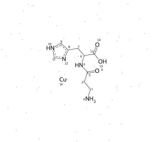 NCCC(=O)NC(Cc1c[nH]cn1)C(=O)O.[Cu]